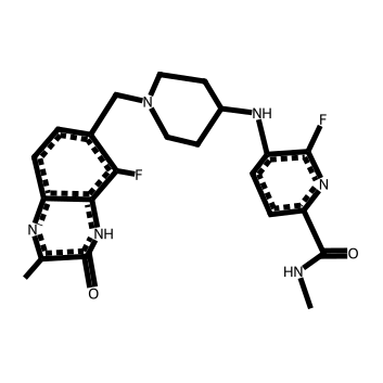 CNC(=O)c1ccc(NC2CCN(Cc3ccc4nc(C)c(=O)[nH]c4c3F)CC2)c(F)n1